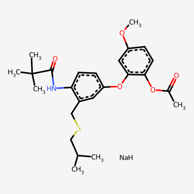 COc1ccc(OC(C)=O)c(Oc2ccc(NC(=O)C(C)(C)C)c(CSCC(C)C)c2)c1.[NaH]